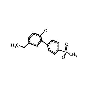 CCc1ccc([O])c(-c2ccc(S(C)(=O)=O)cc2)c1